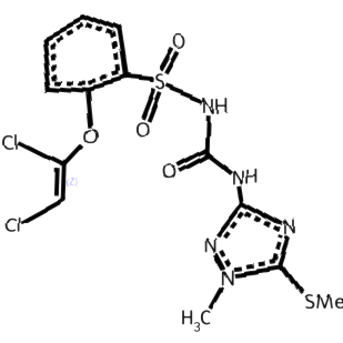 CSc1nc(NC(=O)NS(=O)(=O)c2ccccc2O/C(Cl)=C/Cl)nn1C